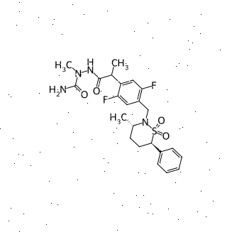 CC(C(=O)NN(C)C(N)=O)c1cc(F)c(CN2[C@@H](C)CC[C@H](c3ccccc3)S2(=O)=O)cc1F